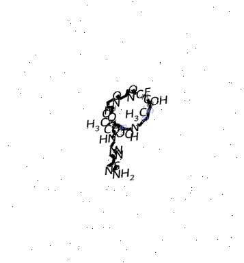 CC1=C\[C@@H](O)C[C@@H](F)Cc2nc(co2)C(=O)N2CCC[C@@H]2C(=O)O[C@H](C(C)C)[C@H](CC(=O)NCCn2cc(-c3cnc(N)s3)nn2)/C=C/C(=O)NC\C=C\1